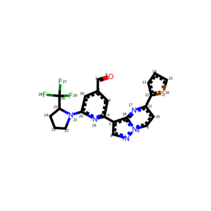 O=Cc1cc(-c2cnn3ccc(-c4cccs4)nc23)nc(N2CCCC2C(F)(F)F)c1